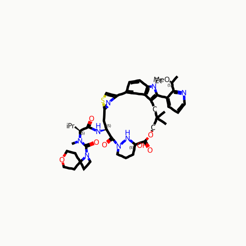 CCn1c(-c2cccnc2[C@H](C)OC)c2c3cc(ccc31)-c1csc(n1)C[C@H](NC(=O)[C@H](C(C)C)N(C)C(=O)N1CCC13CCOCC3)C(=O)N1CCC[C@@](O)(N1)C(=O)OCC(C)(C)C2